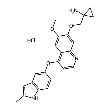 COc1cc2c(Oc3ccc4[nH]c(C)cc4c3)ccnc2cc1OCC1(N)CC1.Cl